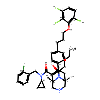 O=C(O)CCCC(=O)N1[C@H]2CNC[C@@H]1C(C(=O)N(Cc1ccccc1Cl)C1CC1)=C(c1ccc(CCCOc3c(F)ccc(F)c3F)cc1)C2